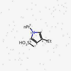 CCCn1ccc(CC)c1.CS(=O)(=O)O